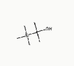 CC(C)(O)[Si](C)(C)C